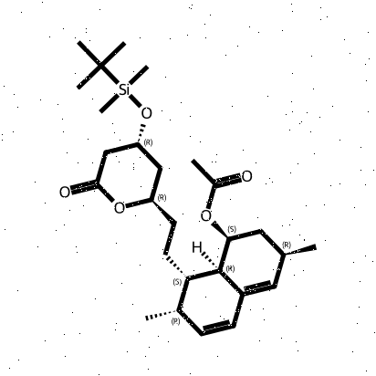 CC(=O)O[C@H]1C[C@@H](C)C=C2C=C[C@H](C)[C@H](CC[C@@H]3C[C@@H](O[Si](C)(C)C(C)(C)C)CC(=O)O3)[C@H]21